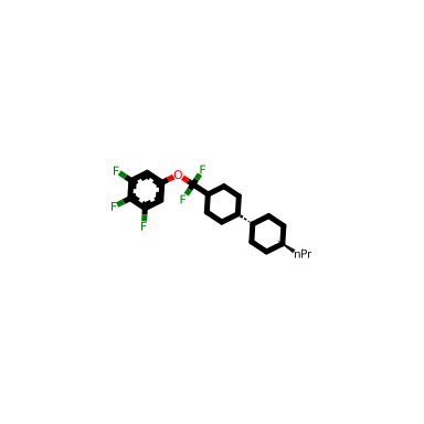 CCC[C@H]1CC[C@H](C2CCC(C(F)(F)Oc3cc(F)c(F)c(F)c3)CC2)CC1